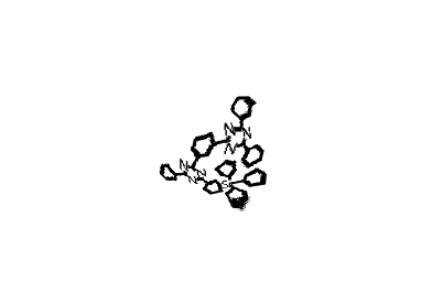 c1ccc(-c2nc(-c3ccccc3)nc(-c3cccc(-c4nc(-c5ccccc5)nc(-c5cccc([Si](c6ccccc6)(c6ccccc6)c6ccccc6)c5)n4)c3)n2)cc1